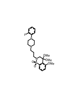 COc1cccc2c1C(OC)(OC)CN(CCCN1CCN(c3ccccc3F)CC1)S2(=O)=O